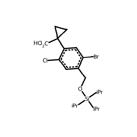 CC(C)[Si](OCc1cc(Cl)c(C2(C(=O)O)CC2)cc1Br)(C(C)C)C(C)C